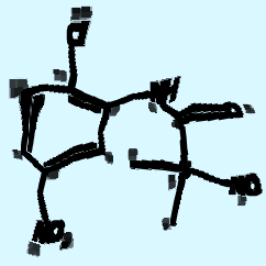 CS(C)(N=O)C(=O)Nc1cc([N+](=O)[O-])ccc1Cl